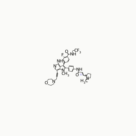 CN1CCC[C@@H]1/C=C/C(=O)Nc1ccc(-c2c(-c3ccc(C(=O)NCC(F)(F)F)c(F)c3)c3c(N)ncc(C#CCN4CCCOCC4)c3n2C)cc1